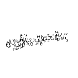 NC(=O)C(CC=O)NC(=O)Cc1ccc(CNC(=O)NCCCCCNC(=O)NC(CCC=O)C(=O)O)cc1